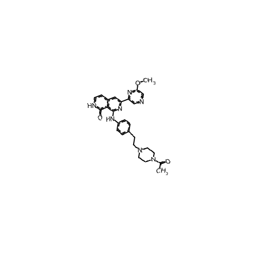 COc1cncc(-c2cc3cc[nH]c(=O)c3c(Nc3ccc(CCN4CCN(C(C)=O)CC4)cc3)n2)n1